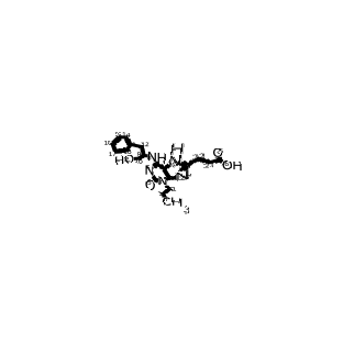 CCCn1c(=O)nc(NC(CO)Cc2ccccc2)c2[nH]c(CCC(=O)O)nc21